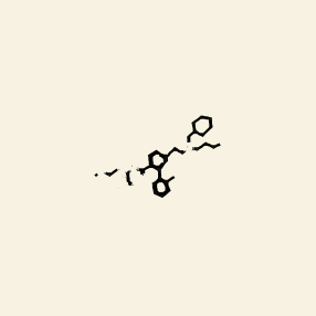 CCCCN(CCc1ccc(C(=O)N[C@@H](CCSC)C(=O)O)c(-c2ccccc2C)c1)CC1CCCCC1.[LiH]